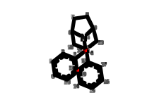 c1ccc(CN2C3CCC2CN(c2ccccc2)C3)cc1